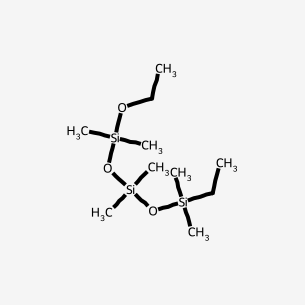 CCO[Si](C)(C)O[Si](C)(C)O[Si](C)(C)CC